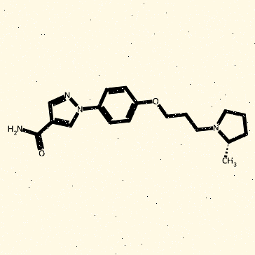 C[C@H]1CCCN1CCCOc1ccc(-n2cc(C(N)=O)cn2)cc1